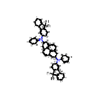 CCC1(CC)c2ccccc2-c2cc(N(c3ccccc3)c3cc4ccc5cc(N(c6ccc7c(c6)-c6ccccc6C7(CC)CC)C6C=CC=CC6)cc6ccc(c3)c4c56)ccc21